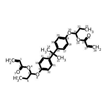 C=CC(=O)OC(CC)Oc1ccc(C(C)(C)c2ccc(OC(CC)OC(=O)C=C)cc2)cc1